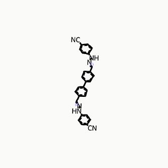 N#Cc1ccc(N/N=C/c2ccc(-c3ccc(/C=N/Nc4ccc(C#N)cc4)cc3)cc2)cc1